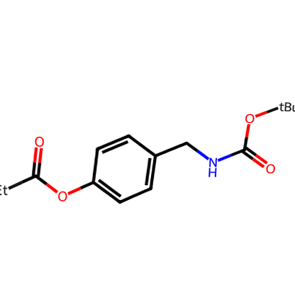 CCC(=O)Oc1ccc(CNC(=O)OC(C)(C)C)cc1